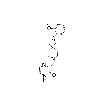 COc1ccccc1OCC1(C)CCN(Cc2ncc[nH]c2=O)CC1